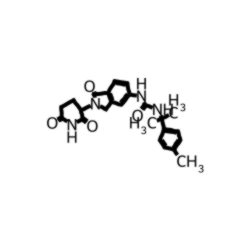 Cc1ccc(C(C)(C)NC(=O)Nc2ccc3c(c2)CN(C2CCC(=O)NC2=O)C3=O)cc1